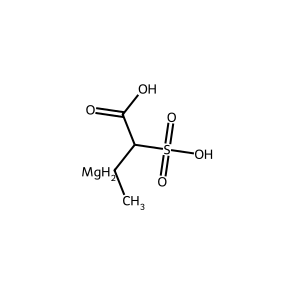 CCC(C(=O)O)S(=O)(=O)O.[MgH2]